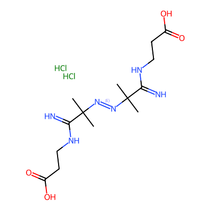 CC(C)(/N=N/C(C)(C)C(=N)NCCC(=O)O)C(=N)NCCC(=O)O.Cl.Cl